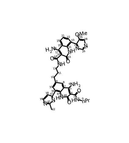 CCCNC(=O)c1c(N)c2cc(CCCNC(=O)c3c(N)c4cccc(-c5ncncc5OC)c4[nH]c3=O)cc(-c3ccnc(C)n3)c2[nH]c1=O